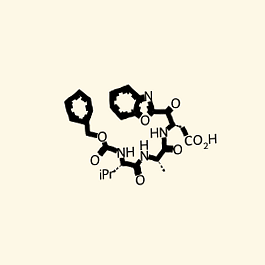 CC(C)[C@H](NC(=O)OCc1ccccc1)C(=O)N[C@@H](C)C(=O)N[C@@H](CC(=O)O)C(=O)c1nc2ccccc2o1